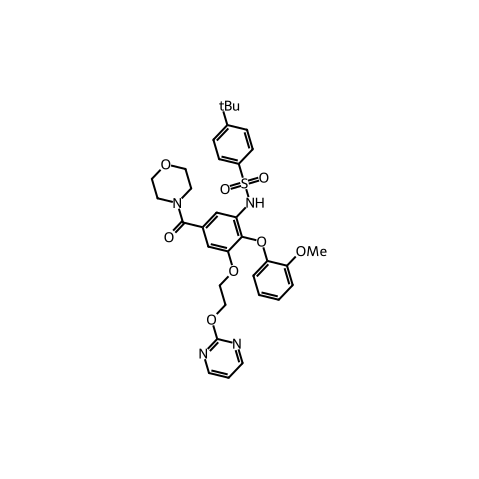 COc1ccccc1Oc1c(NS(=O)(=O)c2ccc(C(C)(C)C)cc2)cc(C(=O)N2CCOCC2)cc1OCCOc1ncccn1